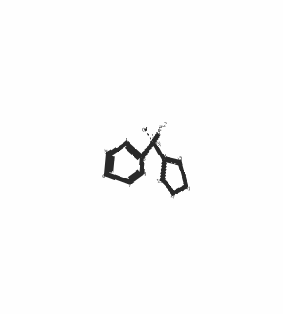 C[C@@](F)(c1ccccc1)C1CCCC1